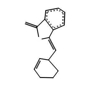 O=C1OC(=CC2C=CCCC2)c2ccccc21